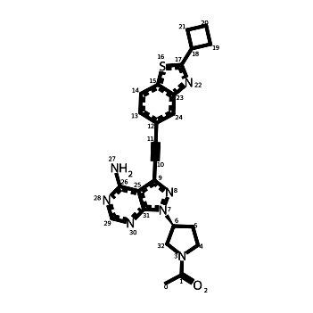 CC(=O)N1CC[C@H](n2nc(C#Cc3ccc4sc(C5CCC5)nc4c3)c3c(N)ncnc32)C1